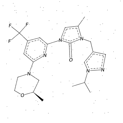 Cc1cn(-c2cc(C(F)(F)F)cc(N3CCO[C@H](C)C3)n2)c(=O)n1Cc1cnn(C(C)C)c1